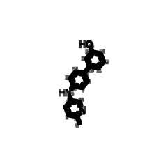 Cc1ccc(Nc2ccc(-c3cccc(O)c3)cc2)cn1